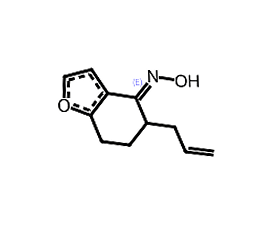 C=CCC1CCc2occc2/C1=N/O